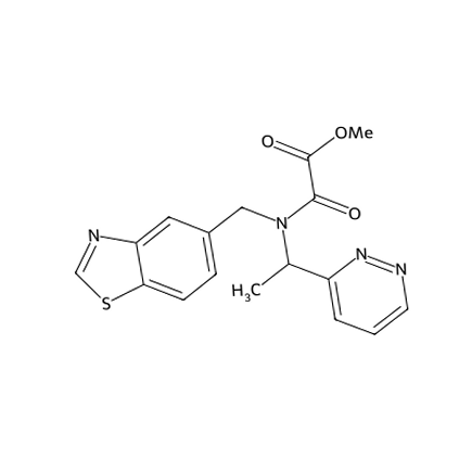 COC(=O)C(=O)N(Cc1ccc2scnc2c1)C(C)c1cccnn1